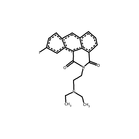 CCN(CC)CCN1C(=O)c2cccc3cc4ccc(I)cc4c(c23)C1=O